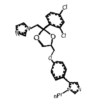 CCCn1cncc1-c1ccc(OCC2COC(Cn3ccnc3)(c3ccc(Cl)cc3Cl)O2)cc1